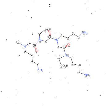 CC(=O)N(CCCCN)CC(=O)N(CC(=O)N(CCCCN)CC(=O)N(CCCCN)CC(=O)O)CC(C)C